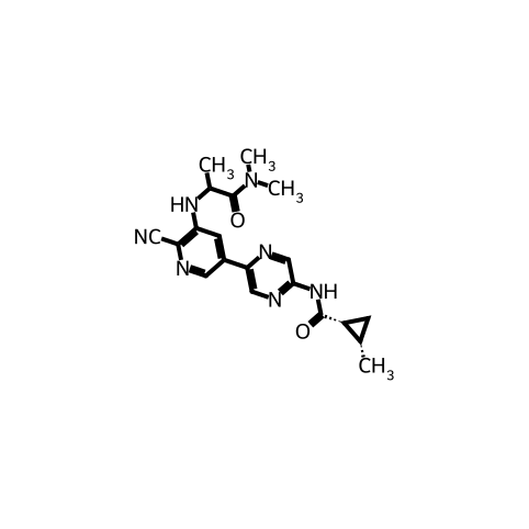 CC(Nc1cc(-c2cnc(NC(=O)[C@@H]3C[C@@H]3C)cn2)cnc1C#N)C(=O)N(C)C